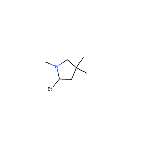 CCC1CC(C)(C)CN1C